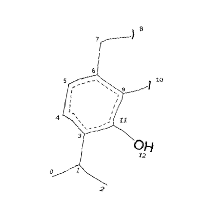 CC(C)c1ccc(CI)c(I)c1O